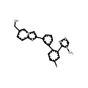 Cn1cnnc1-c1cc(F)ccc1-c1cccc(-c2cn3cc(CO)ccc3n2)c1